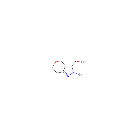 CCn1nc2c(c1CO)COCC2